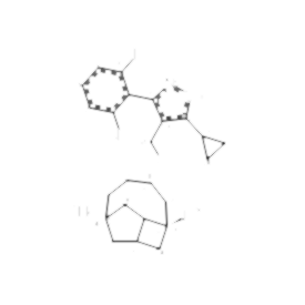 Fc1cccc(F)c1-c1noc(C2CC2)c1CO[C@H]1CC[C@@H]2CC3C[C@@H](C1)C3C2